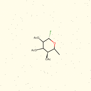 CC(=O)OC1C(OC(C)=O)[C@H](F)OC(C)[C@H]1OC(C)=O